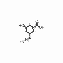 [N-]=[N+]=NC1CC(O)CN(C(=O)O)C1